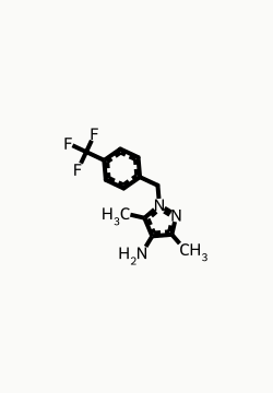 Cc1nn(Cc2ccc(C(F)(F)F)cc2)c(C)c1N